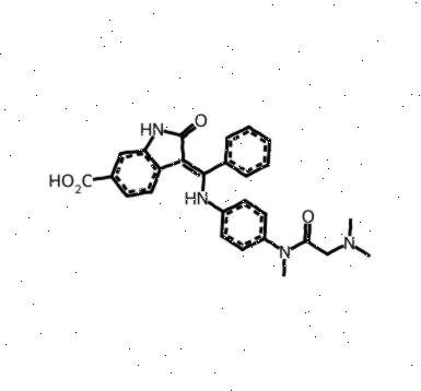 CN(C)CC(=O)N(C)c1ccc(NC(=C2C(=O)Nc3cc(C(=O)O)ccc32)c2ccccc2)cc1